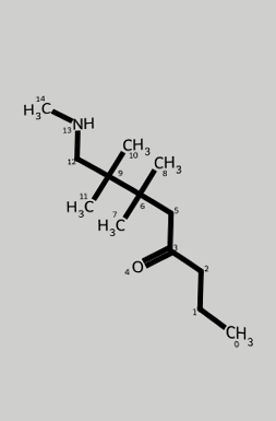 CCCC(=O)CC(C)(C)C(C)(C)CNC